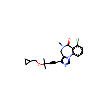 CN1Cc2c(C#CC(C)(C)OCC3CC3)ncn2-c2cccc(Cl)c2C1=O